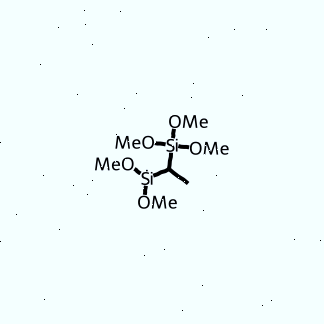 CO[Si](OC)C(C)[Si](OC)(OC)OC